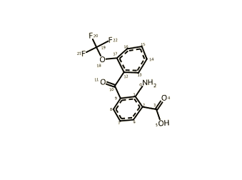 Nc1c(C(=O)O)cccc1C(=O)c1ccccc1OC(F)(F)F